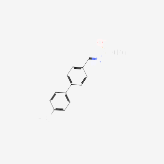 CC(C)(C)[S@@+]([O-])/N=C/c1ccc(-c2ccc(C(F)(F)F)cc2)cc1